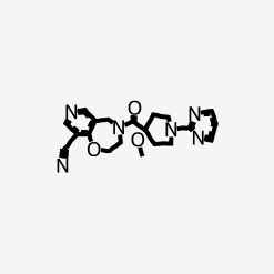 COC1(C(=O)N2CCOc3c(C#N)cncc3C2)CCN(c2ncccn2)CC1